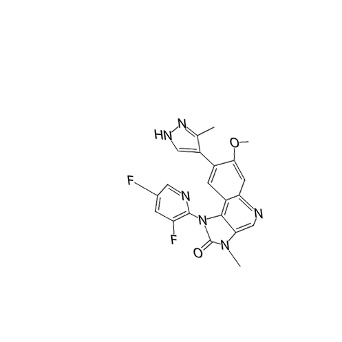 COc1cc2ncc3c(c2cc1-c1c[nH]nc1C)n(-c1ncc(F)cc1F)c(=O)n3C